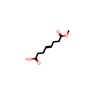 COC(=O)CCC=CCCC(=O)O